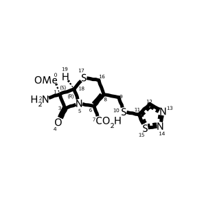 CO[C@@]1(N)C(=O)N2C(C(=O)O)=C(CSc3cnns3)CS[C@@H]21